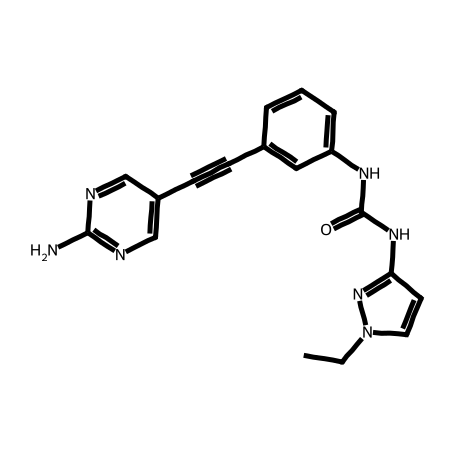 CCn1ccc(NC(=O)Nc2cccc(C#Cc3cnc(N)nc3)c2)n1